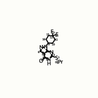 CC(C)Sc1nc2c(cnn2C2CCC(F)(F)CC2)c(=O)[nH]1